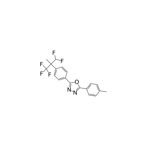 Cc1ccc(-c2nnc(-c3ccc(C(C)(C(F)F)C(F)(F)F)cc3)o2)cc1